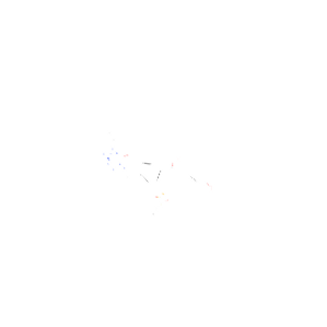 CS(=O)(=O)Oc1cc(Cn2nnn(C3CC3)c2=O)ccc1C(=O)OC1=CC(=O)CCC1